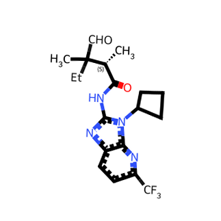 CCC(C)(C=O)[C@H](C)C(=O)Nc1nc2ccc(C(F)(F)F)nc2n1C1CCC1